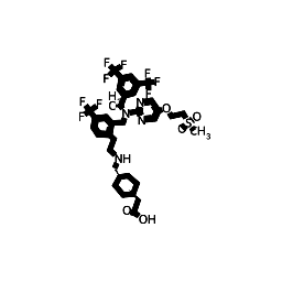 C[C@@H](c1cc(C(F)(F)F)cc(C(F)(F)F)c1)N(Cc1cc(C(F)(F)F)ccc1CCNC[C@H]1CC[C@H](CC(=O)O)CC1)c1ncc(OCCS(C)(=O)=O)cn1